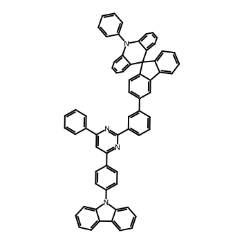 c1ccc(-c2cc(-c3ccc(-n4c5ccccc5c5ccccc54)cc3)nc(-c3cccc(-c4ccc5c(c4)-c4ccccc4C54c5ccccc5N(c5ccccc5)c5ccccc54)c3)n2)cc1